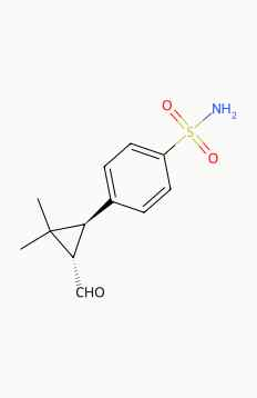 CC1(C)[C@@H](C=O)[C@@H]1c1ccc(S(N)(=O)=O)cc1